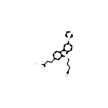 N#CCCCn1c2ccc(-n3ccnc3)cc2c2ccc(CCC(=O)O)cc21